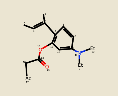 CC=C(C)c1ccc(N(CC)CC)cc1OC(=O)CC(C)=O